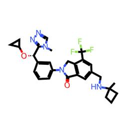 Cn1cnnc1[C@@H](OC1CC1)c1cccc(N2Cc3c(cc(CNC4(C)CCC4)cc3C(F)(F)F)C2=O)c1